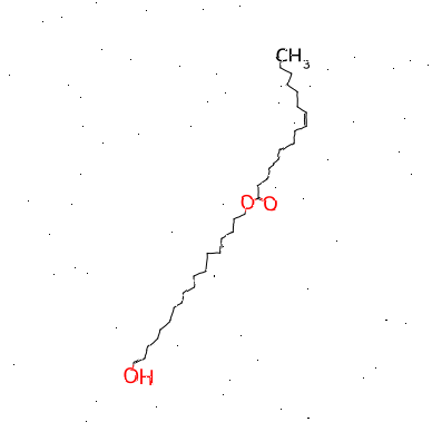 CCCCCC/C=C\CCCCCCCC(=O)OCCCCCCCCCCCCCCCCCCO